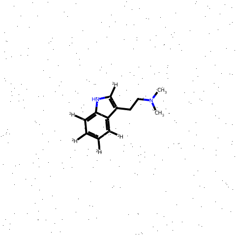 [2H]c1[nH]c2c([2H])c([2H])c([2H])c([2H])c2c1CCN(C)C